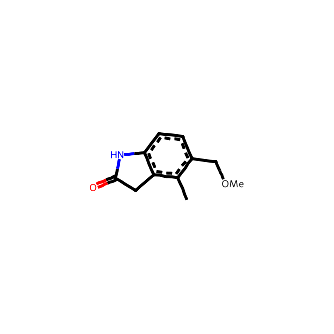 COCc1ccc2c(c1C)CC(=O)N2